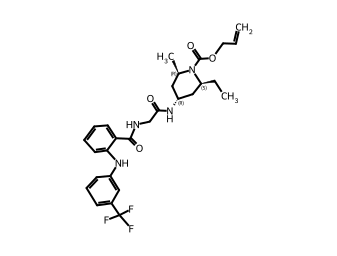 C=CCOC(=O)N1[C@@H](CC)C[C@H](NC(=O)CNC(=O)c2ccccc2Nc2cccc(C(F)(F)F)c2)C[C@H]1C